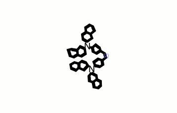 C1=CC2=CC=C(N(c3ccc(/C=C\c4ccc(N(c5ccc6c(c5)C=CCC6)c5ccc6ccccc6c5)cc4)cc3)c3ccc4ccccc4c3)CC2C=C1